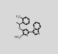 CC(Oc1cc(-c2cnc3ccccn23)sc1C(=O)O)c1ccccc1C(F)(F)F